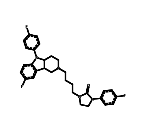 O=C1N(CCCCN2CCC3C(C2)c2cc(F)ccc2N3c2ccc(F)cc2)CCN1c1ccc(F)cc1